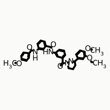 CCOc1cc(C2=NN(C(=O)c3cccc(NC(=O)c4cccc(NC(=O)c5ccc(OC)cc5)c4)c3)CCC2)ccc1OC